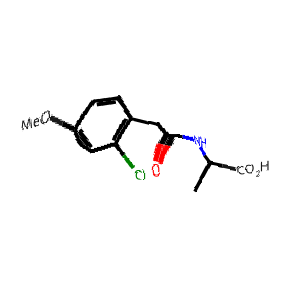 COc1ccc(CC(=O)NC(C)C(=O)O)c(Cl)c1